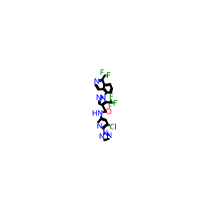 O=C(Nc1cnc(-n2nccn2)c(Cl)c1)c1cnn(-c2cccc3c(C(F)F)nccc23)c1C(F)(F)F